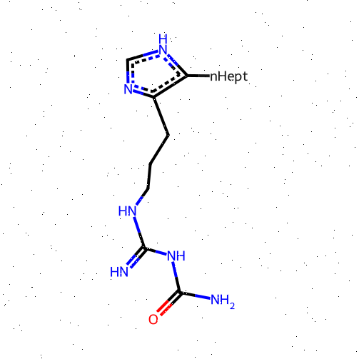 CCCCCCCc1[nH]cnc1CCCNC(=N)NC(N)=O